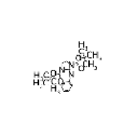 CC(C)(C)OC(=O)N1CCN(C(=O)OC(C)(C)C)C1=Nc1ccccc1